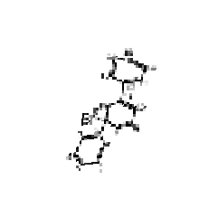 BrC1(c2ccccc2)C=CC=C(c2ccccc2)C1